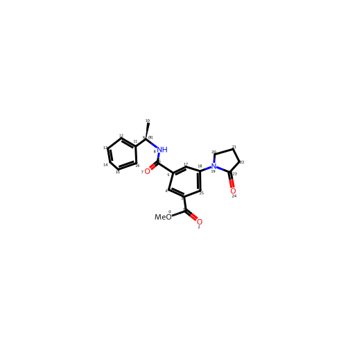 COC(=O)c1cc(C(=O)N[C@H](C)c2ccccc2)cc(N2CCCC2=O)c1